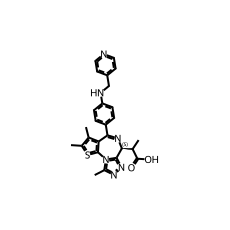 Cc1sc2c(c1C)C(c1ccc(NCc3ccncc3)cc1)=N[C@@H](C(C)C(=O)O)c1nnc(C)n1-2